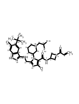 C=CC(=O)N1CC(NC(=O)c2c(Cl)nc(CNc3n[nH]c4cc(Cl)c(C(C)(C)C)cc34)n2C2CCCN(CC(F)F)C2)C1